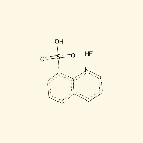 F.O=S(=O)(O)c1cccc2cccnc12